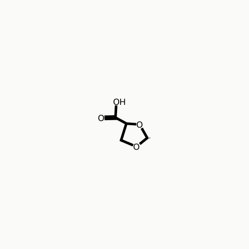 O=C(O)C1CO[CH]O1